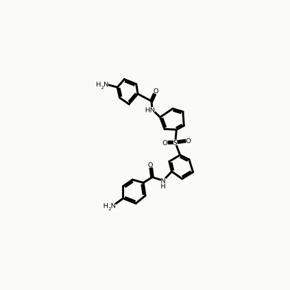 Nc1ccc(C(=O)Nc2cccc(S(=O)(=O)c3cccc(NC(=O)c4ccc(N)cc4)c3)c2)cc1